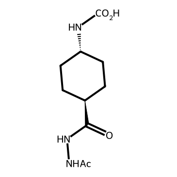 CC(=O)NNC(=O)[C@H]1CC[C@H](NC(=O)O)CC1